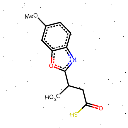 COc1ccc2nc(C(CC(=O)S)C(=O)O)oc2c1